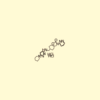 Cl.Cl.O=C1OC2(CCC(CNc3ccc(N4CCCCC4)nn3)CC2)CN1c1cccnn1